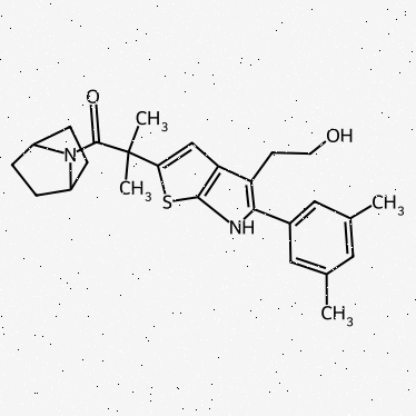 Cc1cc(C)cc(-c2[nH]c3sc(C(C)(C)C(=O)N4C5CCC4CC5)cc3c2CCO)c1